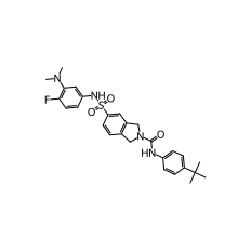 CN(C)c1cc(NS(=O)(=O)c2ccc3c(c2)CN(C(=O)Nc2ccc(C(C)(C)C)cc2)C3)ccc1F